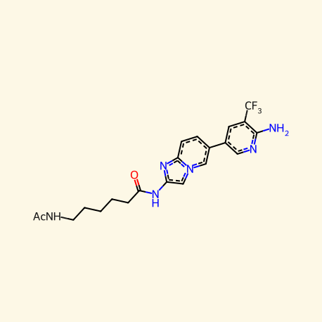 CC(=O)NCCCCCC(=O)Nc1cn2cc(-c3cnc(N)c(C(F)(F)F)c3)ccc2n1